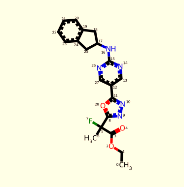 CCOC(=O)C(C)(F)c1nnc(-c2cnc(NC3Cc4ccccc4C3)nc2)o1